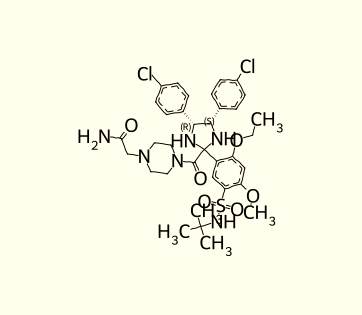 CCOc1cc(OC)c(S(=O)(=O)NC(C)(C)C)cc1C1(C(=O)N2CCN(CC(N)=O)CC2)N[C@H](c2ccc(Cl)cc2)[C@H](c2ccc(Cl)cc2)N1